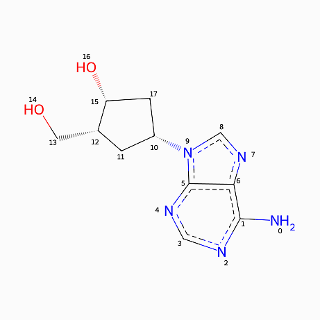 Nc1ncnc2c1ncn2[C@@H]1C[C@H](CO)[C@H](O)C1